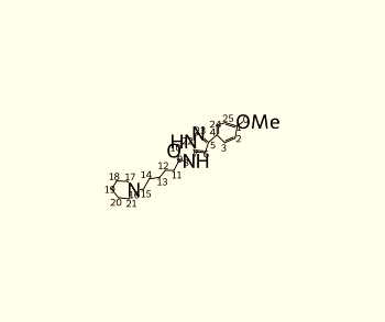 COc1ccc(-c2cc(NC(=O)CCCCCN3CCCCC3)[nH]n2)cc1